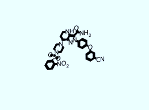 N#Cc1cccc(Oc2ccc(-n3nc4c(c3C(N)=O)NCC[C@H]4N3CCN(S(=O)(=O)c4ccccc4[N+](=O)[O-])CC3)cc2)c1